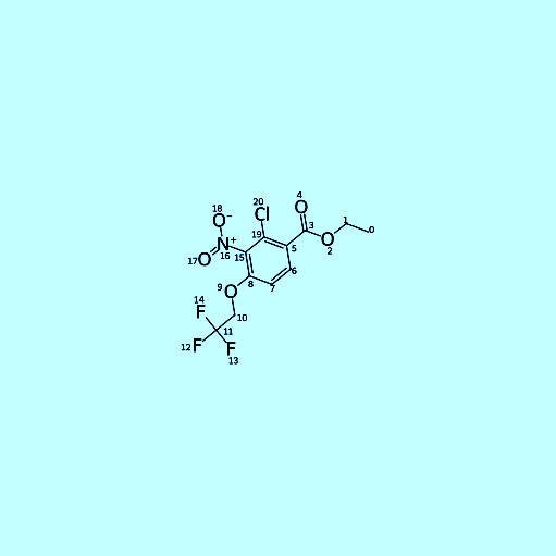 CCOC(=O)c1ccc(OCC(F)(F)F)c([N+](=O)[O-])c1Cl